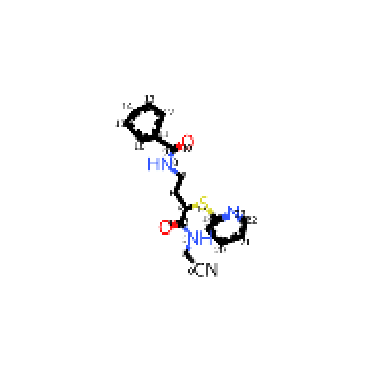 N#CCNC(=O)C(CCNC(=O)c1ccccc1)Sc1ccccn1